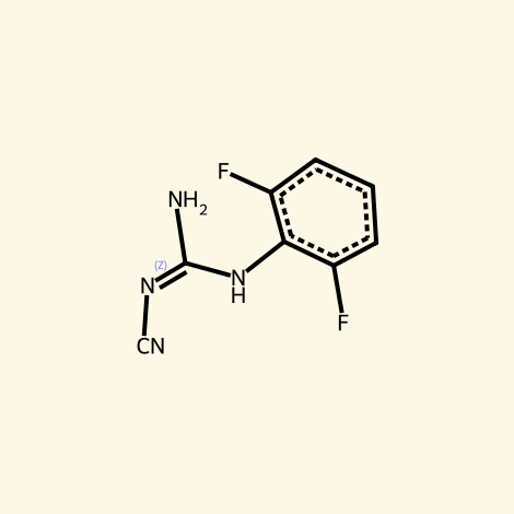 N#C/N=C(/N)Nc1c(F)cccc1F